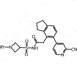 CC(C)N1CC(S(=O)(=O)NC(=O)Cc2c(-c3ccnc(C#N)c3)ccc3c2CCC3)C1